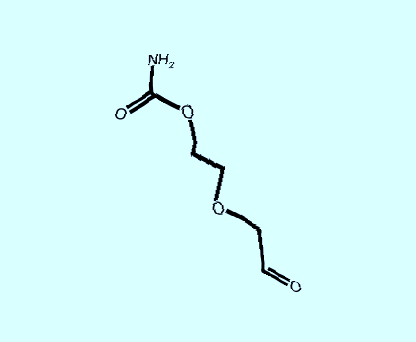 NC(=O)OCCOCC=O